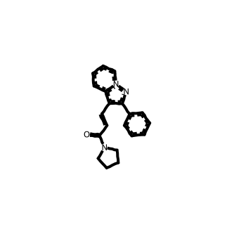 O=C(/C=C/c1c(-c2ccccc2)nn2ccccc12)N1CCCC1